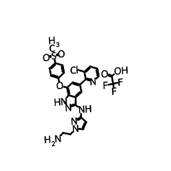 CS(=O)(=O)c1ccc(Oc2cc(-c3ncccc3Cl)cc3c(Nc4ccn(CCN)n4)n[nH]c23)cc1.O=C(O)C(F)(F)F